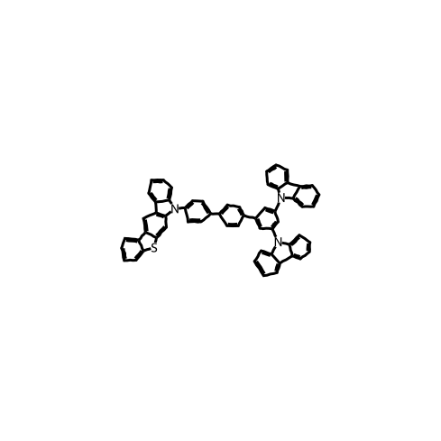 c1ccc2c(c1)sc1cc3c(cc12)c1ccccc1n3-c1ccc(-c2ccc(-c3cc(-n4c5ccccc5c5ccccc54)cc(-n4c5ccccc5c5ccccc54)c3)cc2)cc1